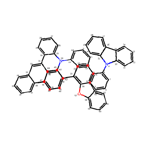 c1cc(-c2ccccc2-n2c3ccccc3c3ccccc32)cc(N(c2ccccc2-c2cc3ccccc3c3ccccc23)c2ccccc2-c2cccc3c2oc2ccccc23)c1